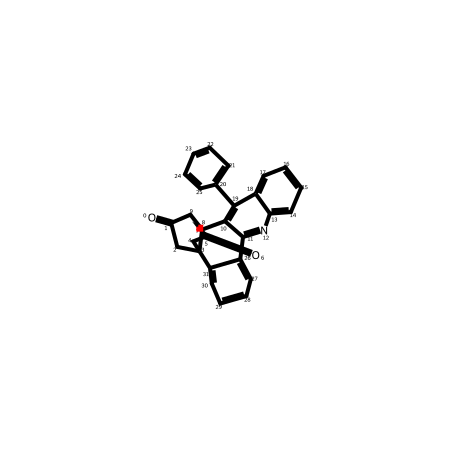 O=C1CC23CC(=O)CC2(C1)c1c(nc2ccccc2c1-c1ccccc1)-c1ccccc13